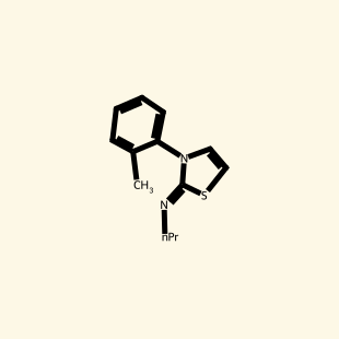 CCC/N=c1\sccn1-c1ccccc1C